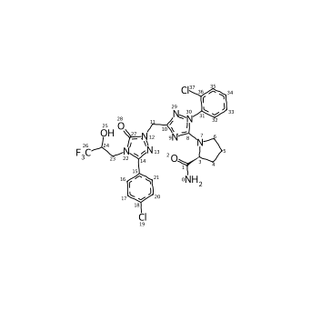 NC(=O)[C@@H]1CCCN1c1nc(Cn2nc(-c3ccc(Cl)cc3)n(CC(O)C(F)(F)F)c2=O)nn1-c1ccccc1Cl